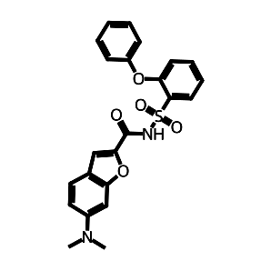 CN(C)c1ccc2cc(C(=O)NS(=O)(=O)c3ccccc3Oc3ccccc3)oc2c1